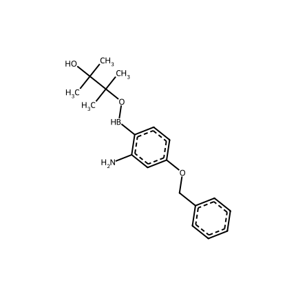 CC(C)(O)C(C)(C)OBc1ccc(OCc2ccccc2)cc1N